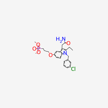 CCc1c(CC(N)=O)c2cc(OCCCP(=O)(OC)OC)ccc2n1Cc1cccc(Cl)c1